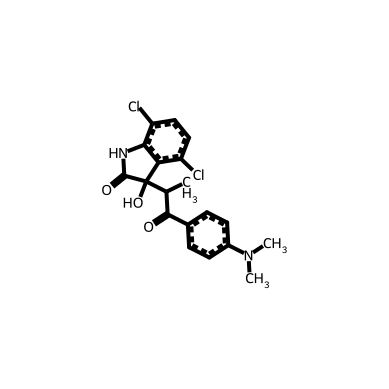 CC(C(=O)c1ccc(N(C)C)cc1)C1(O)C(=O)Nc2c(Cl)ccc(Cl)c21